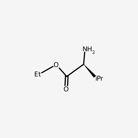 CCOC(=O)[C@@H](N)C(C)C